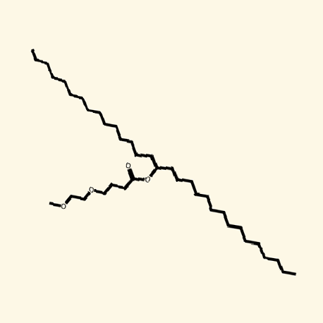 CCCCCCCCCCCCCCCC(CCCCCCCCCCCCCCC)OC(=O)CCCOCCOC